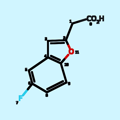 O=C(O)Cc1cc2cc(F)ccc2o1